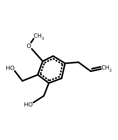 C=CCc1cc(CO)c(CO)c(OC)c1